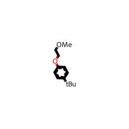 [CH2]OCCOc1ccc(C(C)(C)C)cc1